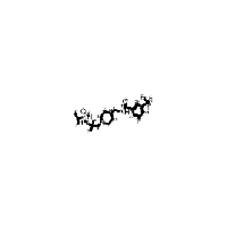 CC(C)[SH](C)(=O)NC(C)(C)CN1CCC(CNC(=O)c2cc(F)cc(C(F)(F)F)c2)CC1